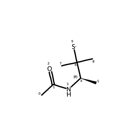 CC(=O)N[C@H](C)C(C)(C)[S]